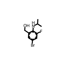 CC(C)Nc1c(F)cc(Br)cc1CO